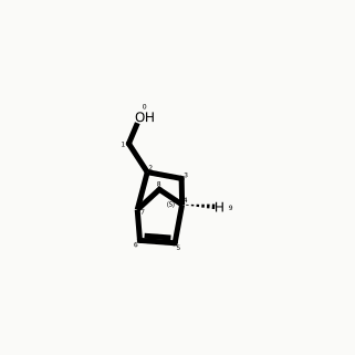 OCC1C[C@H]2C=CC1C2